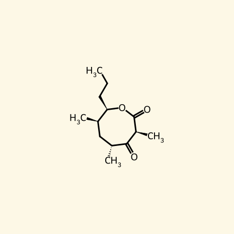 CCC[C@H]1OC(=O)[C@@H](C)C(=O)[C@H](C)C[C@H]1C